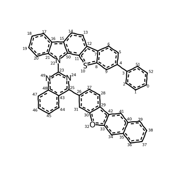 c1ccc(-c2ccc3c(c2)sc2c3ccc3c4ccccc4n(-c4nc(-c5ccc6c(c5)oc5cc7ccccc7cc56)c5ccccc5n4)c32)cc1